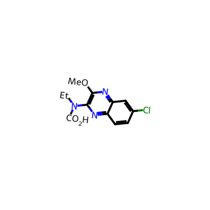 CCN(C(=O)O)c1nc2ccc(Cl)cc2nc1OC